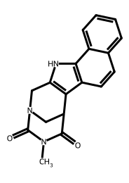 CN1C(=O)C2CN(Cc3[nH]c4c(ccc5ccccc54)c32)C1=O